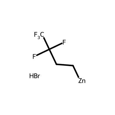 Br.FC(F)(F)C(F)(F)C[CH2][Zn]